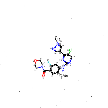 COc1cc(C(=O)N2CCOCC2)c(F)cc1Nc1ncc(Cl)c(-c2cnn(C)c2)n1